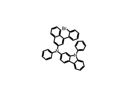 Brc1ccccc1-c1cc(N(c2ccccc2)c2ccc3c4ccccc4n(-c4ccccc4)c3c2)cc2ccccc12